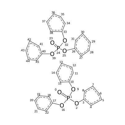 O=P(Oc1ccccc1)(Oc1ccccc1)Oc1ccccc1.O=P(Oc1ccccc1)(Oc1ccccc1)Oc1ccccc1